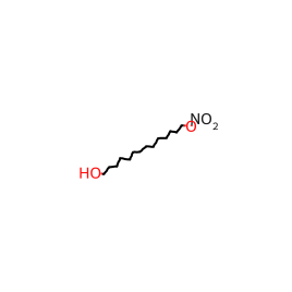 O=[N+]([O-])OCCCCCCCCCCCCCCO